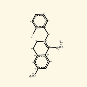 CCCCCCC1=[N+](Cc2ccccc2F)CCc2cc(OC)ccc21.[Cl-]